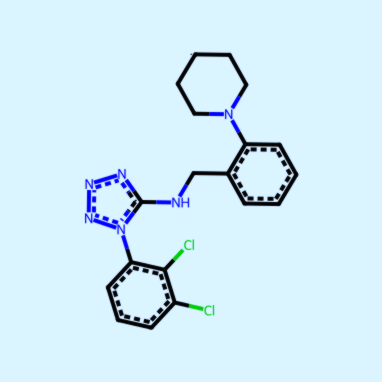 Clc1cccc(-n2nnnc2NCc2ccccc2N2CC[CH]CC2)c1Cl